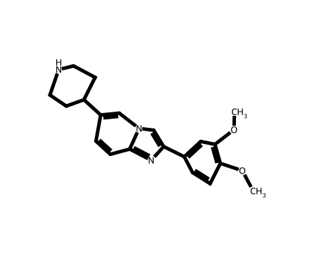 COc1ccc(-c2cn3cc(C4CCNCC4)ccc3n2)cc1OC